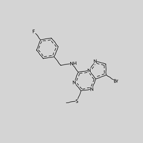 CSc1nc(NCc2ccc(F)cc2)n2ncc(Br)c2n1